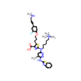 CNCC#Cc1ccc(OCCCc2sc(N(CCCCC[N+](C)(C)C)c3cc(C)c(Nc4nc5ccccc5s4)nn3)nc2C(=O)O)c(F)c1